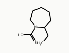 CCC1CCCCCN1C(O)=S